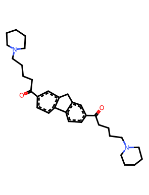 O=C(CCCCN1CCCCC1)c1ccc2c(c1)Cc1cc(C(=O)CCCCN3CCCCC3)ccc1-2